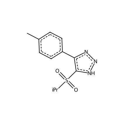 Cc1ccc(-c2nn[nH]c2S(=O)(=O)C(C)C)cc1